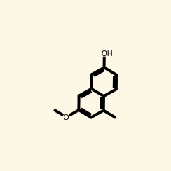 COc1cc(C)c2ccc(O)cc2c1